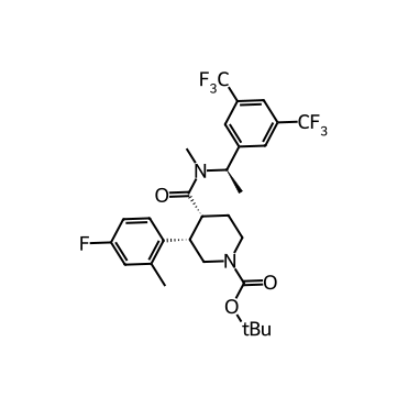 Cc1cc(F)ccc1[C@H]1CN(C(=O)OC(C)(C)C)CC[C@H]1C(=O)N(C)[C@H](C)c1cc(C(F)(F)F)cc(C(F)(F)F)c1